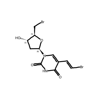 O=c1[nH]c(=O)n([C@H]2C[C@H](O)[C@@H](CBr)O2)cc1C=CBr